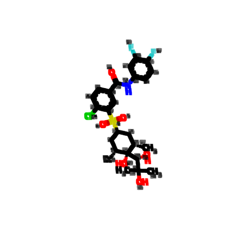 CC[C@@H]1C[C@@H](S(=O)(=O)c2cc(C(=O)Nc3ccc(F)c(F)c3)ccc2Cl)C[C@H](C)[C@@]1(O)[C@H](O)C(C)(C)O